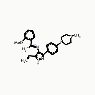 C=Cc1[nH]nc(-c2ccc(N3CCN(C)CC3)cc2)c1/N=C(\C)c1ccccc1OC